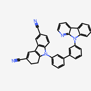 N#CC1=Cc2c(n(-c3cccc(-c4cccc(-n5c6ccccc6c6cccnc65)c4)c3)c3ccc(C#N)cc23)CC1